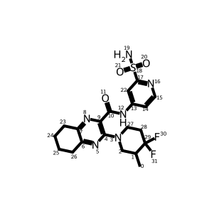 CC1CN(c2nc3c(nc2C(=O)Nc2ccnc(S(N)(=O)=O)c2)CCCC3)CCC1(F)F